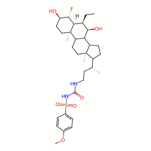 CC[C@@H]1[C@@H]2[C@@H](F)[C@H](O)CC[C@]2(C)C2CC[C@@]3(C)C(CCC3[C@H](C)CCNC(=O)NS(=O)(=O)c3ccc(OC)cc3)C2[C@@H]1O